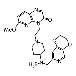 BN(Cc1cc2c(cn1)OCCO2)C1CCN(CCn2c(=O)cnc3ccc(OC)nc32)CC1